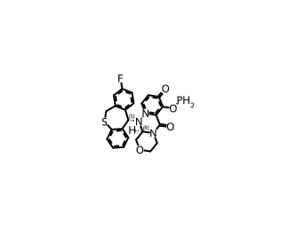 O=C1c2c(OP)c(=O)ccn2N([C@H]2c3ccc(F)cc3CSc3ccccc32)[C@@H]2COCCN12